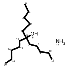 CCCCCC(O)(CCCCC)CCCCC.N